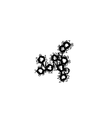 c1ccc(-n2c3ccccc3c3ccc(N(c4ccc5oc6ccccc6c5c4)c4cccc5c4c4ccccc4n5-c4ccc5ccccc5c4)cc32)cc1